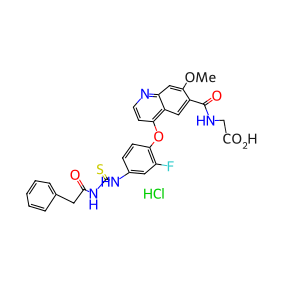 COc1cc2nccc(Oc3ccc(NC(=S)NC(=O)Cc4ccccc4)cc3F)c2cc1C(=O)NCC(=O)O.Cl